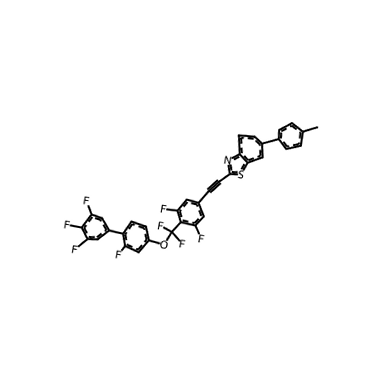 Cc1ccc(-c2ccc3nc(C#Cc4cc(F)c(C(F)(F)Oc5ccc(-c6cc(F)c(F)c(F)c6)c(F)c5)c(F)c4)sc3c2)cc1